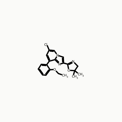 CCOc1ccccc1-c1cc(Cl)cn2cc(C3=NCC(C)(C)O3)nc12